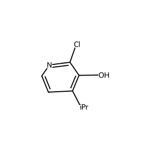 CC(C)c1ccnc(Cl)c1O